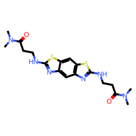 CN(C)C(=O)CCNc1nc2cc3nc(NCCC(=O)N(C)C)sc3cc2s1